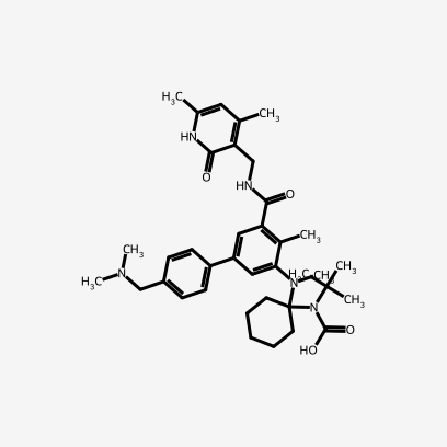 Cc1cc(C)c(CNC(=O)c2cc(-c3ccc(CN(C)C)cc3)cc(N(C)C3(N(C(=O)O)C(C)(C)C)CCCCC3)c2C)c(=O)[nH]1